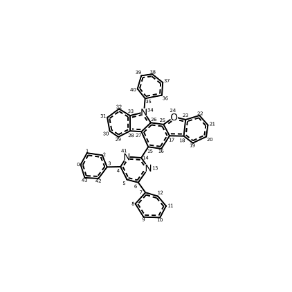 c1ccc(-c2cc(-c3ccccc3)nc(-c3cc4c5ccccc5oc4c4c3c3ccccc3n4-c3ccccc3)n2)cc1